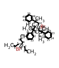 C=C[CH2][Zr]([Br])([CH2]C=C)[CH2]C=C.CC(C)([CH2][Zr]([Br])([CH2]C(C)(C)c1ccccc1)[CH2]C(C)(C)c1ccccc1)c1ccccc1